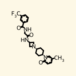 Cc1ccc(=O)n([C@H]2CC[C@@H](N3CC(NC(=O)CNC(=O)c4cccc(C(F)(F)F)c4)C3)CC2)c1